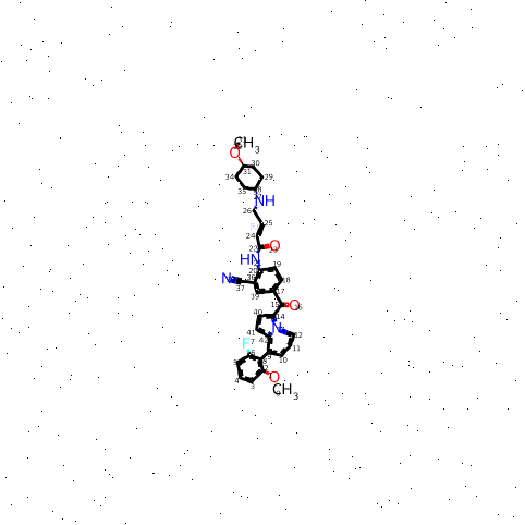 COc1cccc(F)c1-c1cccn2c(C(=O)c3ccc(NC(=O)/C=C/CN[C@H]4CC[C@H](OC)CC4)c(C#N)c3)ccc12